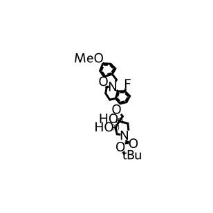 COc1ccc(CN2C(=O)CCc3c(OC[C@@]4(O)CCN(C(=O)OC(C)(C)C)C[C@@H]4O)ccc(F)c32)cc1